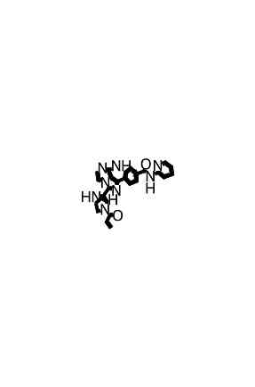 C=CC(=O)N1CC2C[C@H]1C(c1nc(-c3ccc(C(=O)Nc4ccccn4)cc3)c3c(N)nccn13)N2